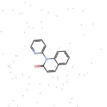 O=c1ccc2ccccc2n1-c1ccccn1